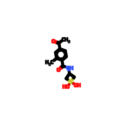 CC(=O)c1ccc(C(=O)NC2CS(O)(O)C2)c(C)c1